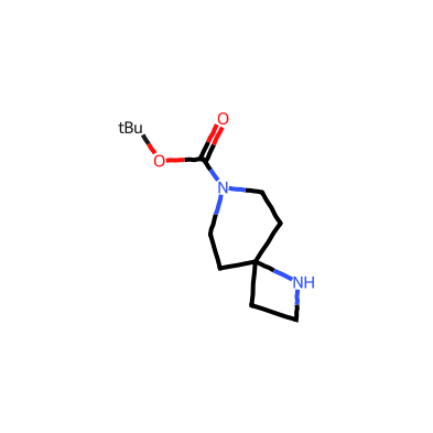 CC(C)(C)OC(=O)N1CCC2(CCN2)CC1